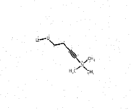 CCOCCC#C[Si](C)(C)C